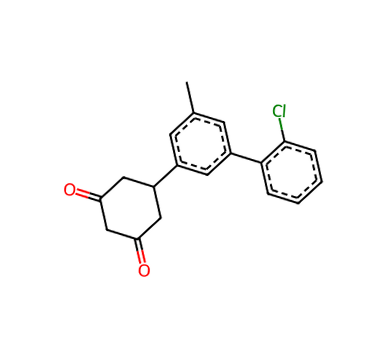 Cc1cc(-c2ccccc2Cl)cc(C2CC(=O)CC(=O)C2)c1